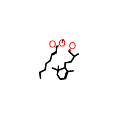 CC1=CCCC(C)(C)C1CCC(C)C=O.CCCCC/C=C/C(=O)OC